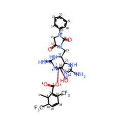 CC1C(C(=O)O[C@H]2CN3C(=N)N[C@@H](CN4C(=O)CN(c5ccccc5)C4=O)C4NC(N)NC43[C@@]2(C)O)=C(C(F)(F)F)C=CC1C(F)(F)F